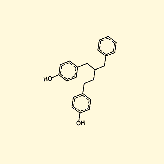 Oc1ccc(CC[C](Cc2ccccc2)Cc2ccc(O)cc2)cc1